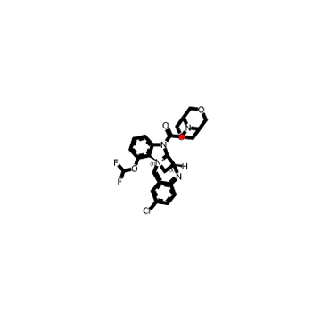 O=C(CN1C2COCC1COC2)N1c2cccc(OC(F)F)c2[N@+]23C=c4cc(Cl)ccc4=N[C@H](C2)C13